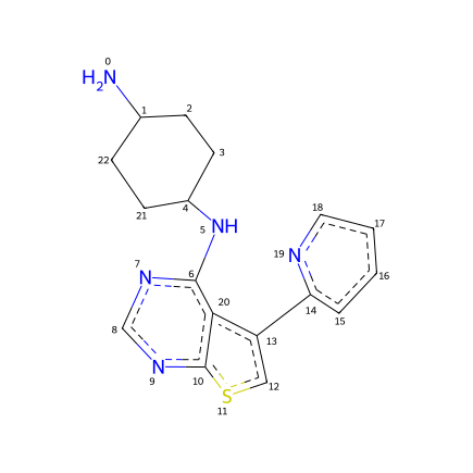 NC1CCC(Nc2ncnc3scc(-c4ccccn4)c23)CC1